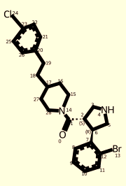 O=C([C@@H]1CNC[C@H]1c1ccccc1Br)N1CCC(CCc2ccc(Cl)cc2)CC1